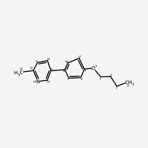 CCCCOc1ccc(-c2ccc(C)nc2)cc1